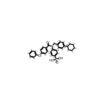 O=C(c1ccc(Oc2ccccc2)cc1)N(Cc1ccc(C2CCCCC2)cc1)c1ccc(P(=O)(O)O)cc1